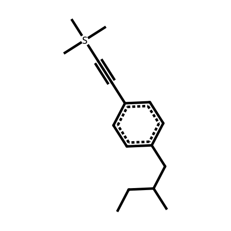 CCC(C)Cc1ccc(C#CS(C)(C)C)cc1